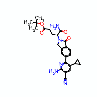 CC(C)(C)OC(=O)CC[C@@H](C(N)=O)N1Cc2cc(-c3nc(N)c(C#N)cc3C3CC3)ccc2C1=O